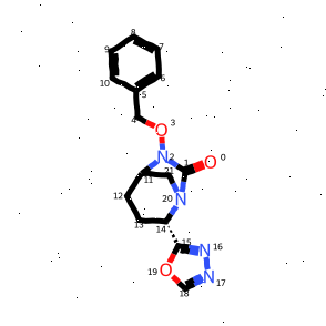 O=C1N(OCc2ccccc2)C2CC[C@@H](c3nnco3)N1C2